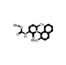 COc1ccc2ccccc2c1-n1c(C)ccc(NC(=O)OC(C)(C)C)c1=O